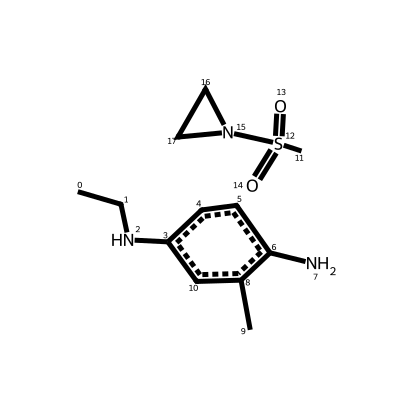 CCNc1ccc(N)c(C)c1.CS(=O)(=O)N1CC1